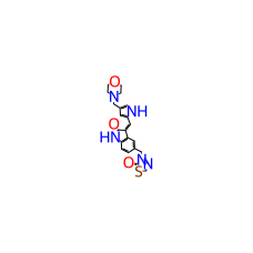 O=C1Nc2ccc(Cn3ncsc3=O)cc2/C1=C/c1cc(CN2CCOCC2)c[nH]1